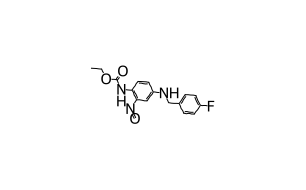 CCOC(=O)Nc1ccc(NCc2ccc(F)cc2)cc1N=O